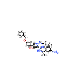 Cc1nc(N[C@H](C)c2cc(N)cc(C(F)(F)F)c2)c2cc(C3(O)CC(OCc4ccccc4)C3)cn2n1